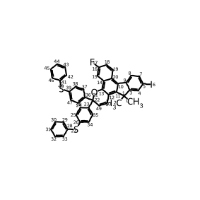 CC1(C)c2cc(I)ccc2-c2c1c1c(c3cc(F)ccc23)OC(c2ccc(Sc3ccccc3)cc2)(c2ccc(Sc3ccccc3)cc2)C=C1